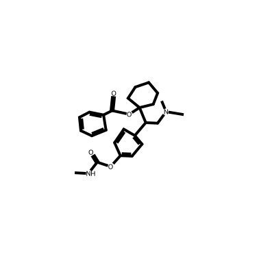 CNC(=O)Oc1ccc(C(CN(C)C)C2(OC(=O)c3ccccc3)CCCCC2)cc1